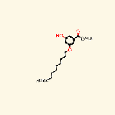 CCCCCCCCCCCCCCCCCCOc1cc(O)cc(C(=O)OC)c1